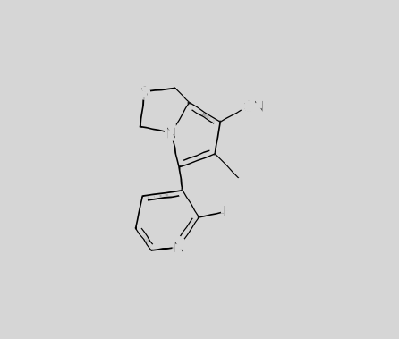 Cc1c(C#N)c2n(c1-c1cccnc1F)CSC2